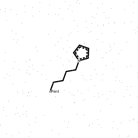 [CH2]CCCCCCCCn1cccc1